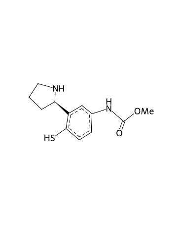 COC(=O)Nc1ccc(S)c([C@H]2CCCN2)c1